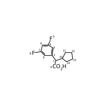 O=C(O)C(c1cc(F)cc(F)c1)C1CCCC1